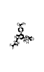 CC(C)C(=O)N1CCN(c2cc(S(=O)(=O)NC3(C)COC3)cn3c(-c4nnc(C(F)F)s4)ncc23)CC1